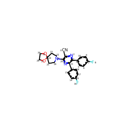 N#Cc1nc(-c2ccc(F)cc2)c(-c2ccc(F)cc2)nc1N1CCC2(CC1)OCCO2